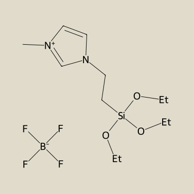 CCO[Si](CCn1cc[n+](C)c1)(OCC)OCC.F[B-](F)(F)F